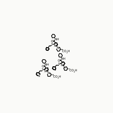 O=C(O)C[C@@H]1CCCN(c2ccc(C(=O)NC3CCCCC3)c(SCCc3ccccc3)n2)C1.O=C(O)C[C@@H]1CCCN(c2ccc(C(=O)NC3CCCCC3)c(SCCc3cccnc3)n2)C1.O=C(O)C[C@H]1CCCN(c2ccc(C(=O)NC3CCCCC3)c(SCCc3ccccc3)n2)C1